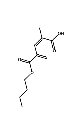 C=C(C=C(C)C(=O)O)C(=O)OCCCC